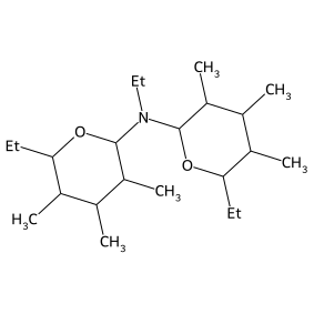 CCC1OC(N(CC)C2OC(CC)C(C)C(C)C2C)C(C)C(C)C1C